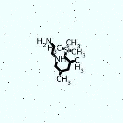 CC(CNCCN)CC(C)C[Si](C)(C)C